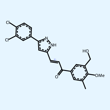 COc1c(C)cc(C(=O)/C=C/c2cc(-c3ccc(Cl)c(Cl)c3)n[nH]2)cc1CO